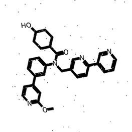 COc1cc(-c2cccc(N(Cc3ccc(-c4cccnc4)nc3)C(=O)C3CCC(O)CC3)c2)ccn1